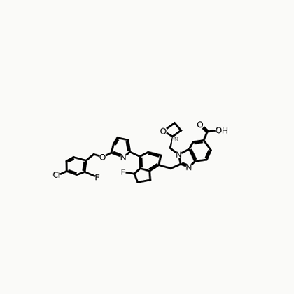 O=C(O)c1ccc2nc(Cc3ccc(-c4cccc(OCc5ccc(Cl)cc5F)n4)c4c3CCC4F)n(C[C@@H]3CCO3)c2c1